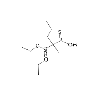 CCCC(C)(C(O)=S)[SiH](OCC)OCC